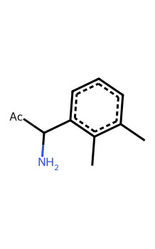 CC(=O)C(N)c1cccc(C)c1C